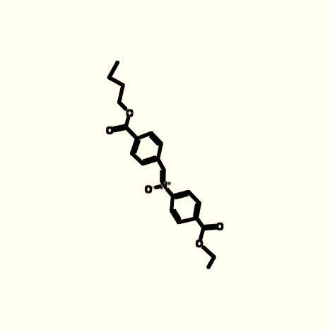 CCCCOC(=O)c1ccc(C=[N+]([O-])c2ccc(C(=O)OCC)cc2)cc1